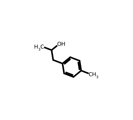 Cc1ccc(CC(C)O)cc1